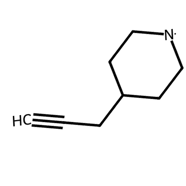 C#CCC1CC[N]CC1